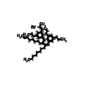 CCCCCCCCC(=Nc1cc(CCC)cc(CCC)c1)C(CCCCCCCC)=Nc1cc(CCC)cc(CCC)c1.[Pd]